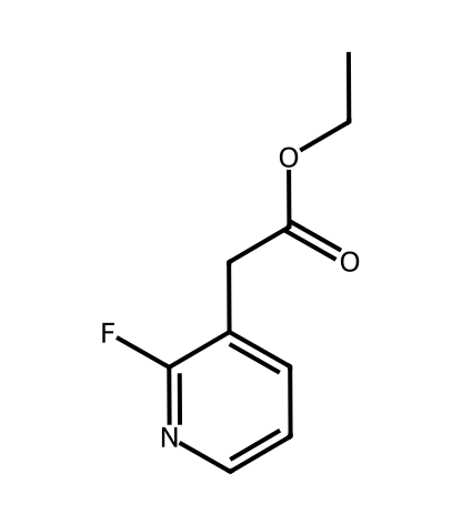 CCOC(=O)Cc1cccnc1F